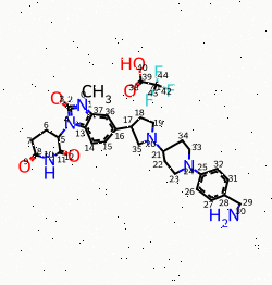 Cn1c(=O)n(C2CCC(=O)NC2=O)c2ccc(C3CCN(C4CCN(c5ccc(CN)cc5)CC4)C3)cc21.O=C(O)C(F)(F)F